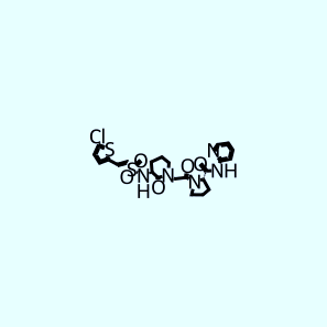 O=C(Nc1ccccn1)[C@@H]1CCCN1C(=O)CN1CCC[C@H](NS(=O)(=O)/C=C/c2ccc(Cl)s2)C1=O